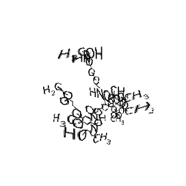 C=CCOC(=O)CCCOc1cc(NC(=O)OCc2ccc(O[C@@H]3O[C@H](C(=O)OC)[C@@H](OC(C)=O)[C@H](OC(C)=O)[C@H]3OC(C)=O)c(C(=O)NCCOCCOCCONB(C)O)c2)c(C(=O)N2C=C(C)C[C@H]2CO)cc1OC